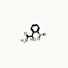 NC(=O)C(O)c1ccccc1[N+](=O)[O-]